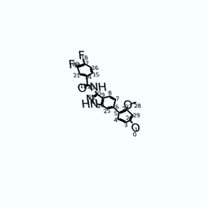 COc1ccc(-c2ccc3c(NC(=O)c4ccc(F)c(F)c4)n[nH]c3c2)c(OC)c1